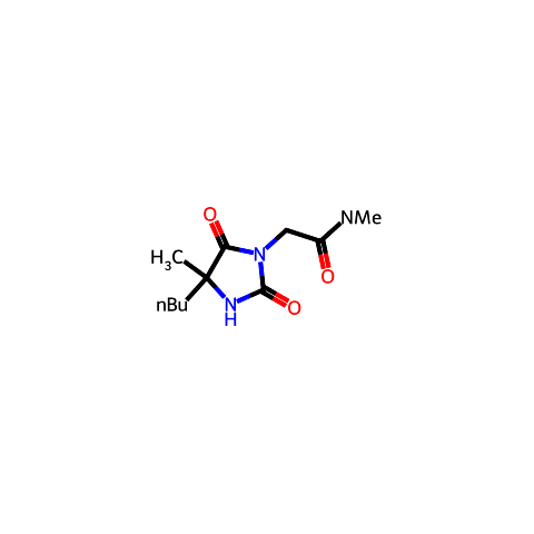 CCCCC1(C)NC(=O)N(CC(=O)NC)C1=O